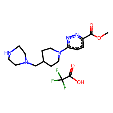 COC(=O)c1ccc(N2CCC(CN3CCNCC3)CC2)nn1.O=C(O)C(F)(F)F